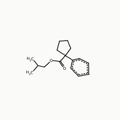 CC(C)COC(=O)C1(c2ccccc2)CCCC1